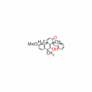 C=C1C(O)=C2[C@@](C)(Cc3ccccc3)C(=O)C=C[C@]2(C)c2cc(OC)ccc21